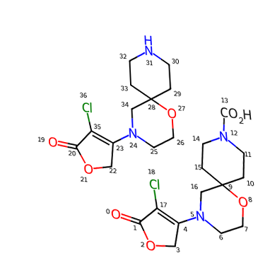 O=C1OCC(N2CCOC3(CCN(C(=O)O)CC3)C2)=C1Cl.O=C1OCC(N2CCOC3(CCNCC3)C2)=C1Cl